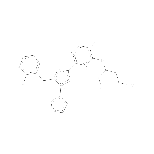 CSCCC(CO)Nc1nc(-c2cc(-c3ccon3)n(Cc3ccccc3F)n2)ncc1F